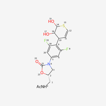 CC(=O)NC[C@H]1CN(c2cc(F)c(C3C=CSC(O)C3O)c(F)c2)C(=O)O1